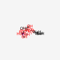 O.O.O.O.O.O.O=CO.O=P(O)(O)O.[NaH].[NaH].[NaH]